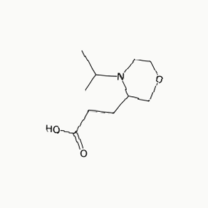 CC(C)N1CCOCC1CCC(=O)O